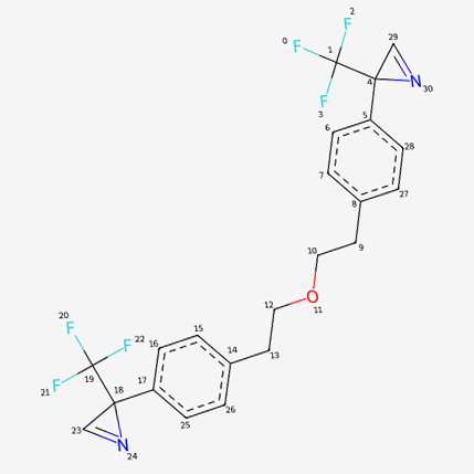 FC(F)(F)C1(c2ccc(CCOCCc3ccc(C4(C(F)(F)F)C=N4)cc3)cc2)C=N1